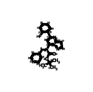 CC(C)(C)OC(=O)N(Cc1ccncc1)c1cc(-c2ccccc2F)nc2ccnn12